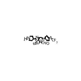 CC(C)(C)OC=O.FC(F)(F)Sc1ccc(OCc2csc(C3CCNCC3)n2)cc1